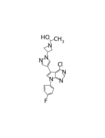 CC(O)N1CC(n2cc(-c3cn(-c4ccc(F)cc4)c4ncnc(Cl)c34)cn2)C1